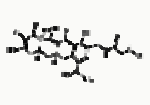 CCNCC(=O)NCc1cc(N(C)C)c2c(c1O)C(=O)C1=C(O)[C@]3(O)C(=O)C(C(C)=O)=C(O)C[C@@H]3C[C@@H]1C2